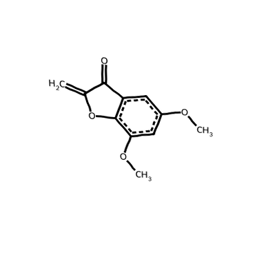 C=C1Oc2c(OC)cc(OC)cc2C1=O